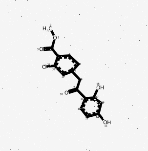 COC(=O)c1ccc(CC(=O)c2ccc(O)cc2O)cc1Cl